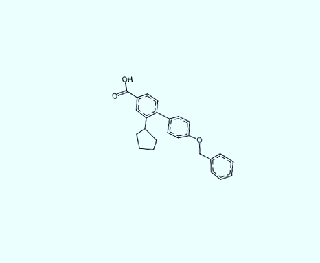 O=C(O)c1ccc(-c2ccc(OCc3ccccc3)cc2)c(C2CCCC2)c1